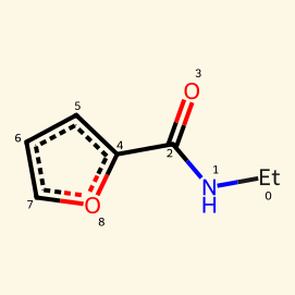 CCNC(=O)c1ccco1